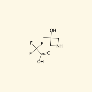 CC1(O)CNC1.O=C(O)C(F)(F)F